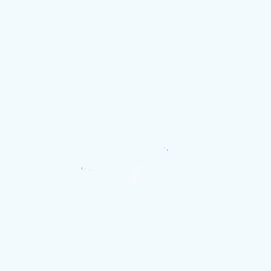 COc1cc(Cl)ccc1C(=O)N1CCCC1